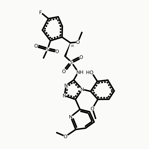 COC1=NC(c2nnc(NS(=O)(=O)C[C@H](OC)c3ccc(F)cc3S(C)(=O)=O)n2-c2c(O)cccc2OC)=C=C=C1